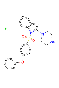 Cl.O=S(=O)(c1ccc(Oc2ccccc2)cc1)n1c(N2CCNCC2)cc2ccccc21